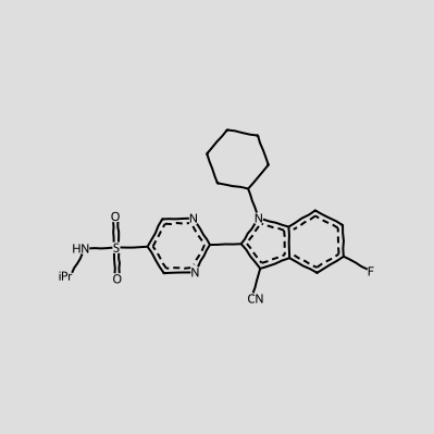 CC(C)NS(=O)(=O)c1cnc(-c2c(C#N)c3cc(F)ccc3n2C2CCCCC2)nc1